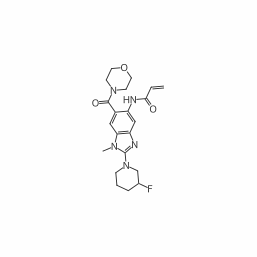 C=CC(=O)Nc1cc2nc(N3CCCC(F)C3)n(C)c2cc1C(=O)N1CCOCC1